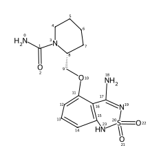 NC(=O)N1CCCC[C@@H]1COc1cccc2c1C(N)=NS(=O)(=O)N2